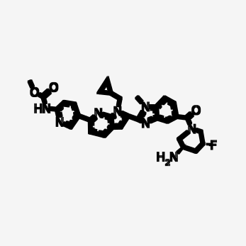 COC(=O)Nc1ccc(-c2ccc3cc(-c4nc5cc(C(=O)N6C[C@H](N)C[C@@H](F)C6)ccc5n4C)n(CC4CC4)c3n2)cn1